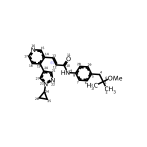 COC(C)(C)Cc1ccc(NC(=O)/C=C/c2cnccc2-c2cnn(C3CC3)c2)cc1